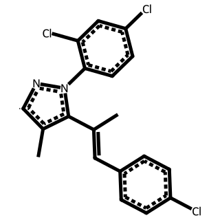 C/C(=C\c1ccc(Cl)cc1)c1c(C)[c]nn1-c1ccc(Cl)cc1Cl